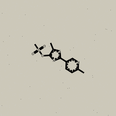 Cc1ccc(-c2nc(OS(C)(=O)=O)c(C)s2)cn1